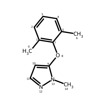 Cc1cccc(C)c1Oc1c[c]nn1C